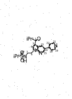 CC(C)C(=O)c1cn(CCNS(=O)(=O)C(C)C)c2ncc(-c3ccncc3)cc12